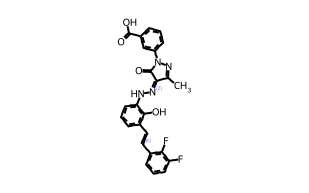 CC1=NN(c2cccc(C(=O)O)c2)C(=O)/C1=N\Nc1cccc(/C=C/c2cccc(F)c2F)c1O